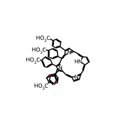 O=C(O)c1ccc(C2=Cc3cc4ccc(cc5nc(cc6c(-c7ccc(C(=O)O)cc7)c(-c7ccc(C(=O)O)cc7)c(c(-c7ccc(C(=O)O)cc7)c2n3)n6Cc2ccccc2)C=C5)[nH]4)cc1